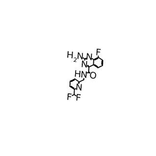 Nc1nc(C(=O)NCc2cccc(C(F)F)n2)c2cccc(F)c2n1